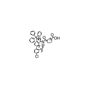 O=C(Nc1nn(C(c2ccccc2)(c2ccccc2)c2ccccc2)c2ccc(-c3ccc(Cl)cc3C(F)(F)F)cc12)[C@@H]1CCCN(C(=O)O)C1